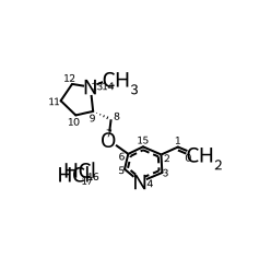 C=Cc1cncc(OC[C@@H]2CCCN2C)c1.Cl.Cl